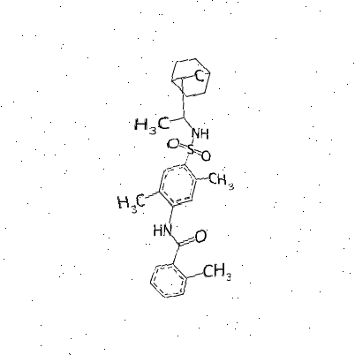 Cc1cc(S(=O)(=O)NC(C)C2CC3CCC2CC3)c(C)cc1NC(=O)c1ccccc1C